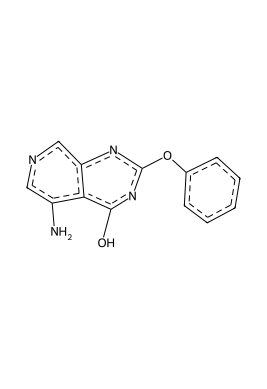 Nc1cncc2nc(Oc3ccccc3)nc(O)c12